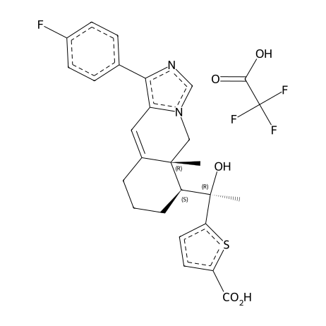 C[C@]12Cn3cnc(-c4ccc(F)cc4)c3C=C1CCC[C@@H]2[C@@](C)(O)c1ccc(C(=O)O)s1.O=C(O)C(F)(F)F